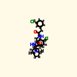 O=C(Cc1cccc(Cl)c1)NCC(=O)N[C@H]1C[C@H]2CC[C@@H](C1)N2Cc1ccc(Cl)cc1